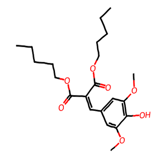 CCCCCOC(=O)C(=Cc1cc(OC)c(O)c(OC)c1)C(=O)OCCCCC